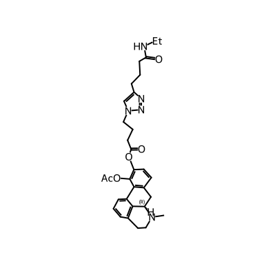 CCNC(=O)CCCc1cn(CCCC(=O)Oc2ccc3c(c2OC(C)=O)-c2cccc4c2[C@@H](C3)N(C)CC4)nn1